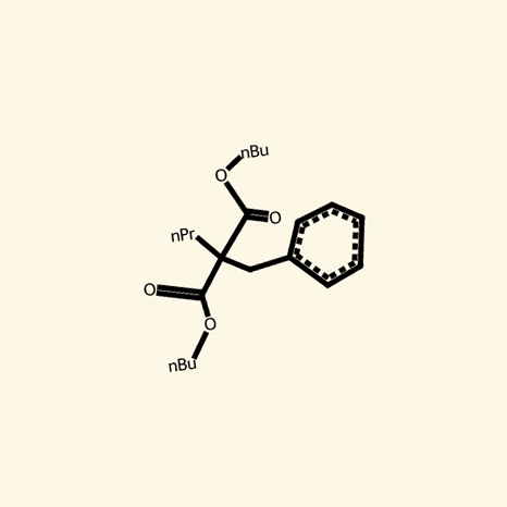 CCCCOC(=O)C(CCC)(Cc1ccccc1)C(=O)OCCCC